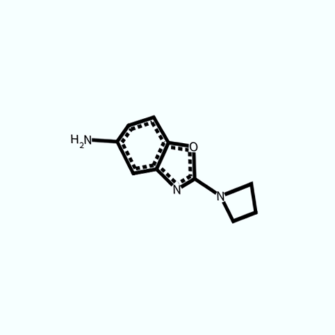 Nc1ccc2oc(N3CCC3)nc2c1